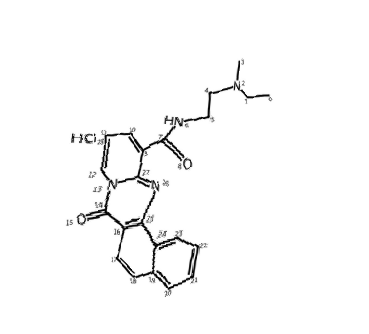 CCN(C)CCNC(=O)c1cccn2c(=O)c3ccc4ccccc4c3nc12.Cl